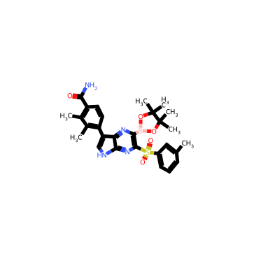 Cc1cccc(S(=O)(=O)c2nc3[nH]cc(-c4ccc(C(N)=O)c(C)c4C)c3nc2B2OC(C)(C)C(C)(C)O2)c1